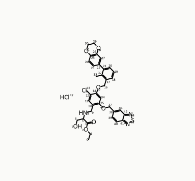 CCOC(=O)C(CO)NCc1cc(Cl)c(OCc2cccc(-c3ccc4c(c3)OCCO4)c2C)cc1OCc1ccc2nsnc2c1.Cl